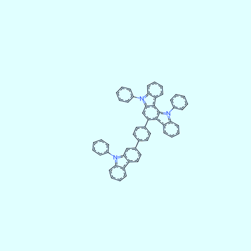 c1ccc(-n2c3ccccc3c3ccc(-c4ccc(-c5cc6c(c7ccccc7n6-c6ccccc6)c6c5c5ccccc5n6-c5ccccc5)cc4)cc32)cc1